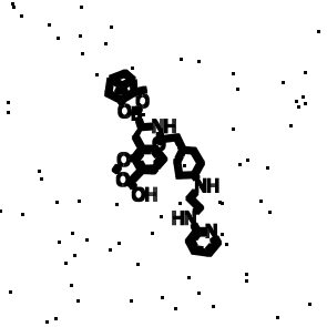 COc1c(C[C@H](NC(=O)CC2CCC(NCCNc3ccccn3)CC2)B2OC3CC4CC(C4(C)C)C3(C)O2)cccc1C(=O)O